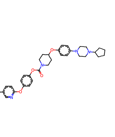 O=C(Oc1ccc(Oc2ccc(C(F)(F)F)cn2)cc1)N1CCC(Oc2ccc(N3CCN(C4CCCC4)CC3)cc2)CC1